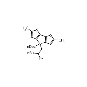 CCCCCCCCCC[Si]1(CC(CC)CCCC)c2cc(C)sc2-c2sc(C)cc21